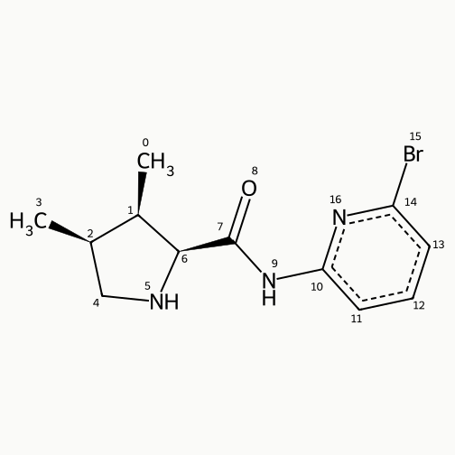 C[C@@H]1[C@H](C)CN[C@@H]1C(=O)Nc1cccc(Br)n1